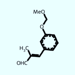 COCOc1cccc(C=C(C)C=O)c1